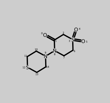 O=C1CS(=O)(=O)CCN1N1CCSCC1